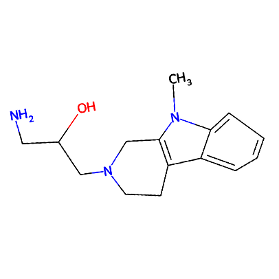 Cn1c2c(c3ccccc31)CCN(CC(O)CN)C2